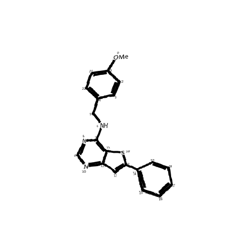 COc1ccc(CNc2ncnc3cc(-c4ccccc4)sc23)cc1